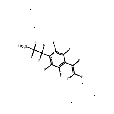 O=S(=O)(O)C(F)(F)C(F)(F)c1c(F)c(F)c(C(F)=C(F)F)c(F)c1F